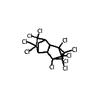 ClC1=C(Cl)C2(Cl)C3C4CC(C3C1(Cl)C2(Cl)Cl)C(Cl)(Cl)C4(Cl)Cl